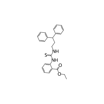 CCOC(=O)c1ccccc1NC(=S)NCCC(c1ccccc1)c1ccccc1